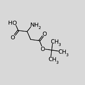 CC(C)(C)OC(=O)CC(N)C(=O)O